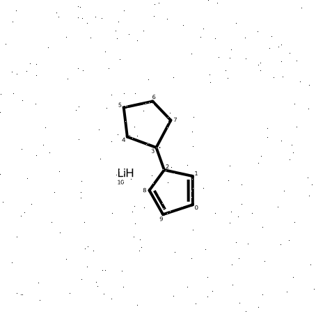 C1=CC([C]2CCCC2)C=C1.[LiH]